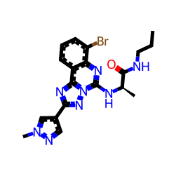 CCCNC(=O)[C@@H](C)Nc1nc2c(Br)cccc2c2nc(-c3cnn(C)c3)nn12